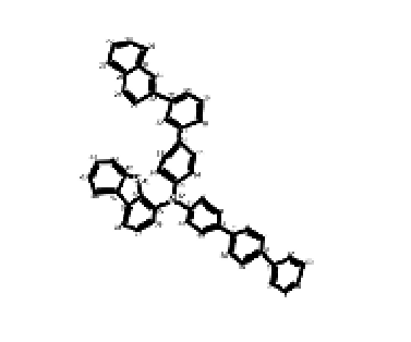 c1ccc(-c2ccc(-c3ccc(N(c4ccc(-c5cccc(-c6ccc7ccccc7c6)c5)cc4)c4cccc5c4sc4ccccc45)cc3)cc2)cc1